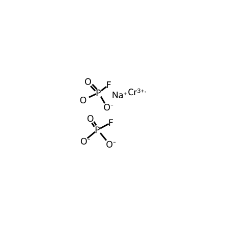 O=P([O-])([O-])F.O=P([O-])([O-])F.[Cr+3].[Na+]